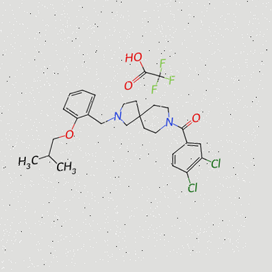 CC(C)COc1ccccc1CN1CCC2(CCN(C(=O)c3ccc(Cl)c(Cl)c3)CC2)C1.O=C(O)C(F)(F)F